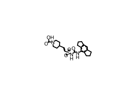 O=C(Nc1c2c(cc3c1CCC3)CCC2)NS(=O)(=O)C=CC1CCN(C(=O)O)CC1